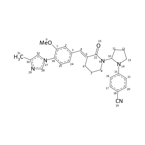 COc1cc(C=C2CCCN(C3CCCN3c3ccc(C#N)cc3)C2=O)ccc1-n1cnc(C)c1